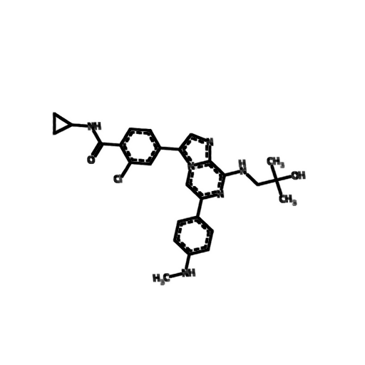 CNc1ccc(-c2cn3c(-c4ccc(C(=O)NC5CC5)c(Cl)c4)cnc3c(NCC(C)(C)O)n2)cc1